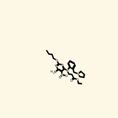 CCCCOc1nc(N)c([N+](=O)[O-])c(N(CCC(=O)OCC)c2ccccc2CN2CCCC2)n1